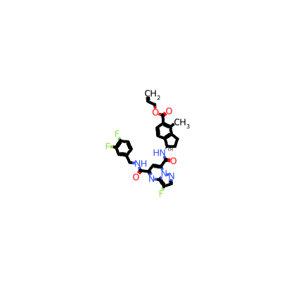 C=CCOC(=O)c1ccc2c(c1C)CC[C@@H]2NC(=O)c1cc(C(=O)NCc2ccc(F)c(F)c2)nc2c(F)cnn12